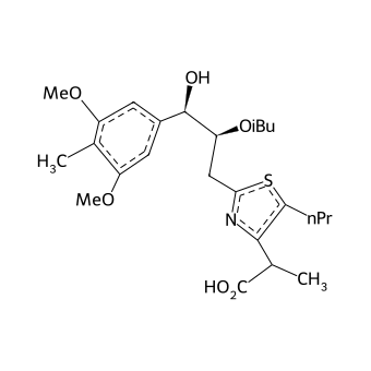 CCCc1sc(C[C@H](OCC(C)C)[C@H](O)c2cc(OC)c(C)c(OC)c2)nc1C(C)C(=O)O